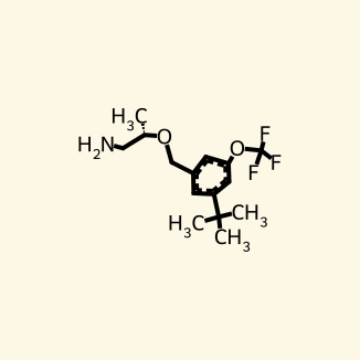 C[C@@H](CN)OCc1cc(OC(F)(F)F)cc(C(C)(C)C)c1